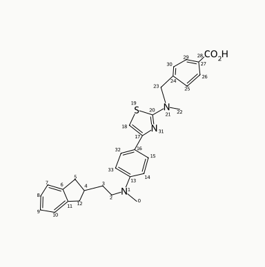 CN(CCC1Cc2ccccc2C1)c1ccc(-c2csc(N(C)Cc3ccc(C(=O)O)cc3)n2)cc1